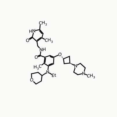 CCN(c1cc(O[C@H]2C[C@H](N3CCN(C)CC3)C2)cc(C(=O)NCc2c(C)cc(C)[nH]c2=O)c1C)C1CCOCC1